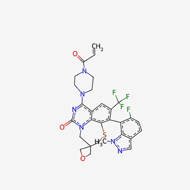 C=CC(=O)N1CCN(c2nc(=O)n3c4c(c(-c5c(F)ccc6cnn(C)c56)c(C(F)(F)F)cc24)SCC2(COC2)C3)CC1